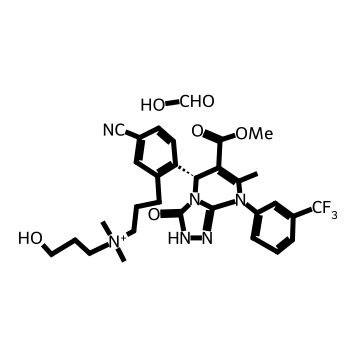 COC(=O)C1=C(C)N(c2cccc(C(F)(F)F)c2)c2n[nH]c(=O)n2[C@@H]1c1ccc(C#N)cc1CCC[N+](C)(C)CCCO.O=CO